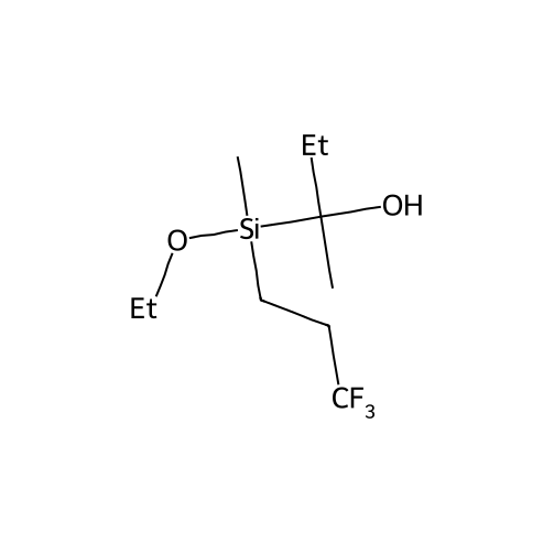 CCO[Si](C)(CCC(F)(F)F)C(C)(O)CC